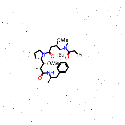 CC[C@H](C)[C@@H]([C@@H](CC(=O)N1CCC[C@H]1[C@H](OC)[C@@H](C)C(=O)N[C@H](C)Cc1ccccc1)OC)N(C)C(=O)CC(C)C